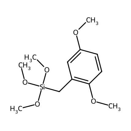 COc1ccc(OC)c(C[Si](OC)(OC)OC)c1